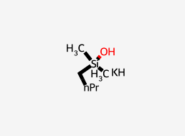 CCCC[Si](C)(C)O.[KH]